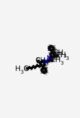 CCCCCCCCc1c(CC)cc(N=CC(CC)=Nc2cc(CC)c(C)c(-c3ccccc3)c2)cc1-c1ccccc1